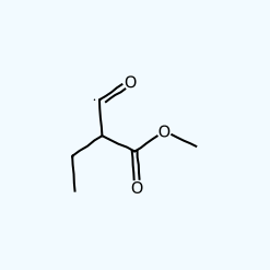 CCC([C]=O)C(=O)OC